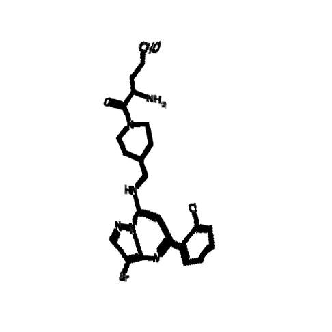 NC(CCC=O)C(=O)N1CCC(CNc2cc(-c3ccccc3Cl)nc3c(Br)cnn23)CC1